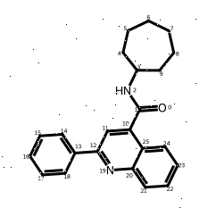 O=C(NC1CCCCCC1)c1cc(-c2ccccc2)nc2ccccc12